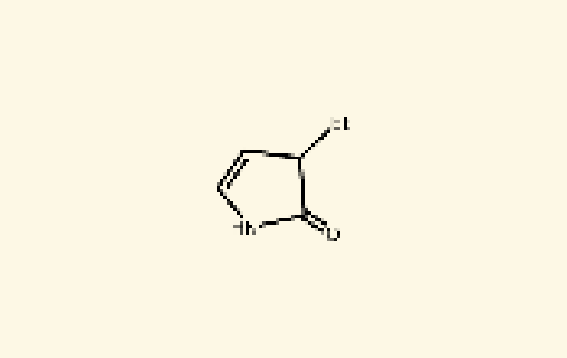 CCC1C=CNC1=O